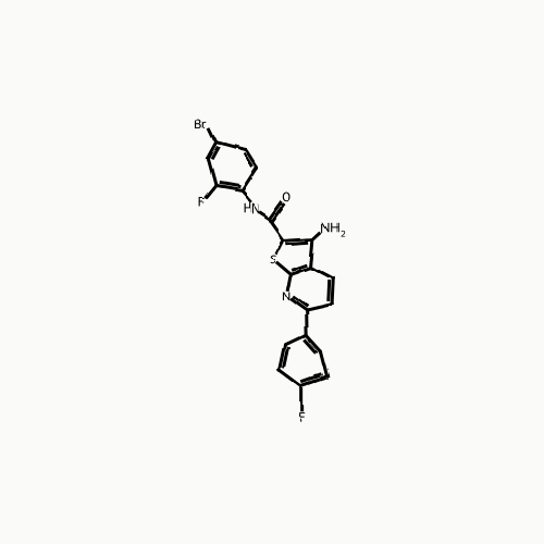 Nc1c(C(=O)Nc2ccc(Br)cc2F)sc2nc(-c3ccc(F)cc3)ccc12